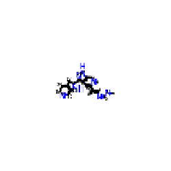 C=N/C=N\C=C(/C)c1cc2c(-c3cc4ccncc4[nH]3)n[nH]c2cn1